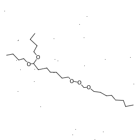 CCCCCCCCOCOOCCCCCCC(OCCCC)OCCCC